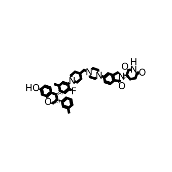 Cc1cccc([C@H]2COc3cc(O)ccc3C2[C@H]2C=C(F)C(N3CCC(CN4CCN(c5ccc6c(c5)CN([C@H]5CCC(=O)NC5=O)C6=O)CC4)CC3)=CC2C)c1